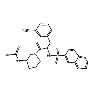 N#Cc1cccc(CC(NS(=O)(=O)c2ccc3ccccc3c2)C(=O)N2CCC[C@@H](NC(=O)O)C2)c1